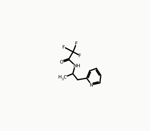 CC(Cc1ccccn1)NC(=O)C(F)(F)F